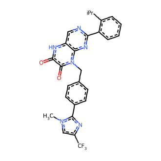 CC(C)c1ccccc1-c1ncc2[nH]c(=O)c(=O)n(Cc3ccc(-c4nc(C(F)(F)F)cn4C)cc3)c2n1